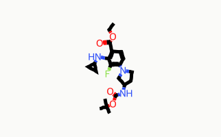 CCOC(=O)c1ccc(N2CCC(NC(=O)OC(C)(C)C)C2)c(F)c1NC1CC1